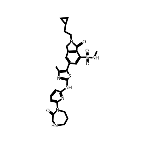 CNS(=O)(=O)c1cc(-c2sc(Nc3cccc(N4CCCNCC4=O)n3)nc2C)cc2c1C(=O)N(CCC1CC1)C2